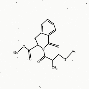 CC(=O)SCC(C)C(=O)N1C(=O)c2ccccc2CC1C(=O)OC(C)(C)C